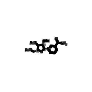 CC(=O)OC[C@H]1O[C@@H]([n+]2cccc(C(N)=O)c2)[C@@H](OC(C)=O)C1OC(C)=O